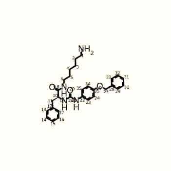 NCCCCCCNC(=O)[C@H](Cc1ccccc1)NC(=O)Nc1ccc(OCc2ccccc2)cc1